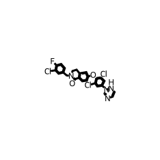 O=C1c2ccc(Oc3c(Cl)cc(N4C=NC=CN4)cc3Cl)cc2CCN1Cc1ccc(F)c(Cl)c1